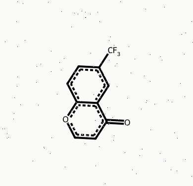 O=c1ccoc2ccc(C(F)(F)F)cc12